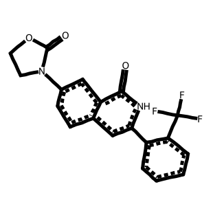 O=C1OCCN1c1ccc2cc(-c3ccccc3C(F)(F)F)[nH]c(=O)c2c1